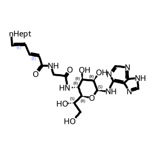 CCCCCCC/C=C/C=C/C(=O)NCC(=O)N[C@@H]1[C@@H](O)[C@@H](O)[C@@H](Nc2ncnc3[nH]cnc23)O[C@H]1[C@@H](O)CO